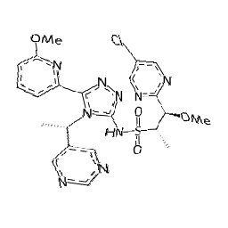 COc1cccc(-c2nnc(NS(=O)(=O)[C@@H](C)[C@H](OC)c3ncc(Cl)cn3)n2[C@@H](C)c2cncnc2)n1